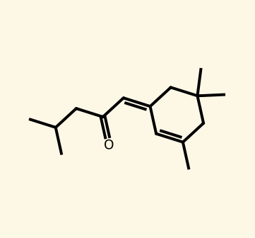 CC1=C/C(=C\C(=O)CC(C)C)CC(C)(C)C1